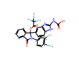 O=C(O)Nc1nc2cc(C3(OC(=O)C(F)(F)F)c4ccccc4C(=O)N3c3ccc(F)c(F)c3)ccc2[nH]1